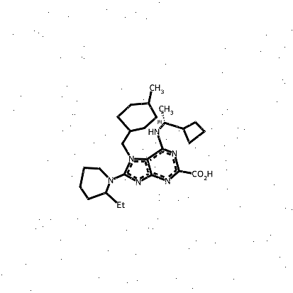 CCC1CCCCN1c1nc2nc(C(=O)O)nc(N[C@H](C)C3CCC3)c2n1CC1CCC(C)CC1